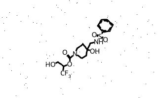 O=C(OC(CO)C(F)(F)F)N1CCC(O)(CNS(=O)(=O)c2ccccc2)CC1